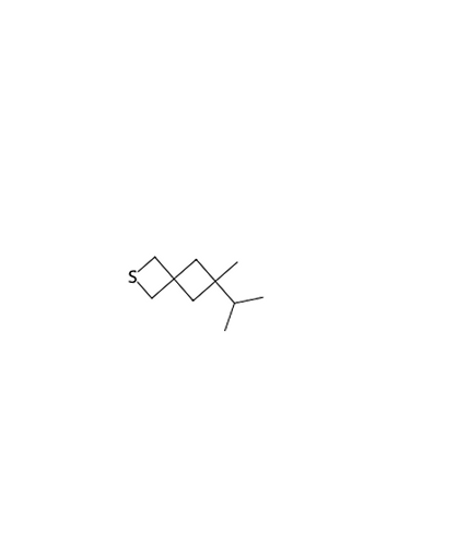 CC(C)C1(C)CC2(CSC2)C1